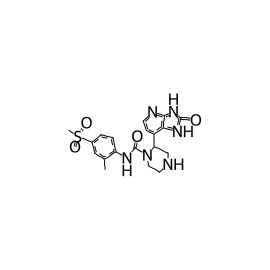 Cc1cc(S(C)(=O)=O)ccc1NC(=O)N1CCNCC1c1ccnc2[nH]c(=O)[nH]c12